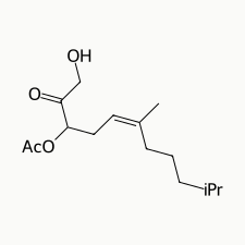 CC(=O)OC(CC=C(C)CCCC(C)C)C(=O)CO